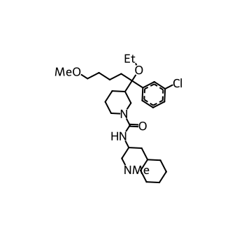 CCOC(CCCCOC)(c1cccc(Cl)c1)C1CCCN(C(=O)NC(CNC)CC2CCCCC2)C1